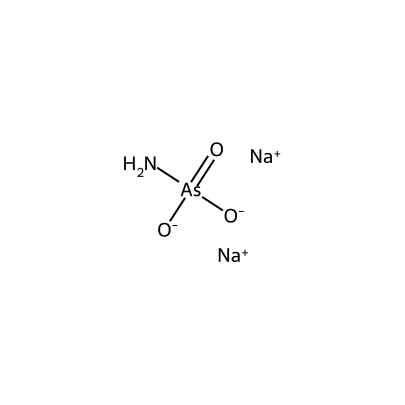 N[As](=O)([O-])[O-].[Na+].[Na+]